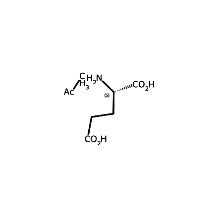 CC(C)=O.N[C@@H](CCC(=O)O)C(=O)O